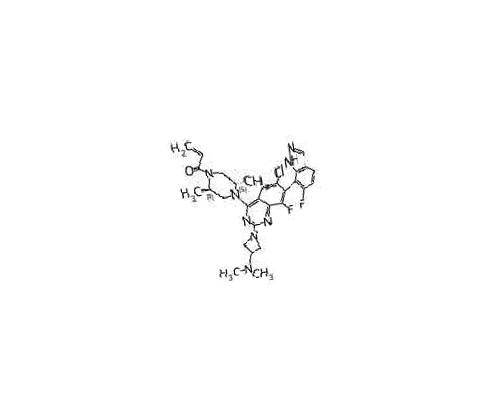 C=CC(=O)N1C[C@H](C)N(c2nc(N3CC(N(C)C)C3)nc3c(F)c(-c4c(F)ccc5cn[nH]c45)c(Cl)cc23)C[C@H]1C